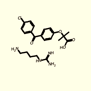 CC(C)(Oc1ccc(C(=O)c2ccc(Cl)cc2)cc1)C(=O)O.N=C(N)NCCCCN